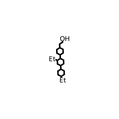 CCC1CCC(C2CCC(C3CCC(CCO)CC3)C(CC)C2)CC1